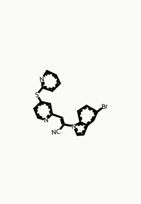 N#CC(=Cc1cc(Sc2ccccn2)ccn1)n1ccc2cc(Br)ccc21